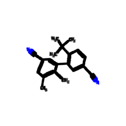 Cc1cc(C#N)cc(-c2cc(C#N)ccc2C(C)(C)C)c1C